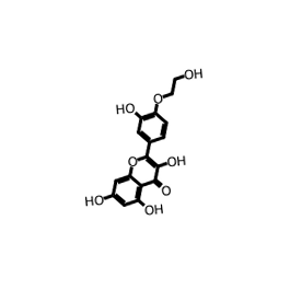 O=c1c(O)c(-c2ccc(OCCO)c(O)c2)oc2cc(O)cc(O)c12